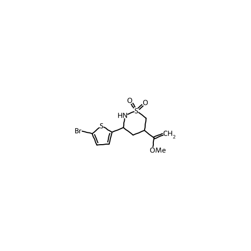 C=C(OC)C1CC(c2ccc(Br)s2)NS(=O)(=O)C1